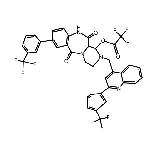 O=C1Nc2ccc(-c3cccc(C(F)(F)F)c3)cc2C(=O)N2CCN(Cc3cc(-c4cccc(C(F)(F)F)c4)nc4ccccc34)C(OC(=O)C(F)(F)F)C12